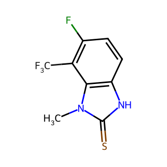 Cn1c(=S)[nH]c2ccc(F)c(C(F)(F)F)c21